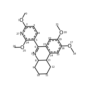 COc1ccc(C2=NC3CCCCC3c3cc(OC)c(OC)cc32)c(OC)n1